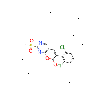 CS(=O)(=O)c1ncc2cc(-c3c(Cl)cccc3Cl)c(=O)oc2n1